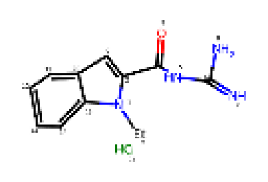 CCn1c(C(=O)NC(=N)N)cc2ccccc21.Cl